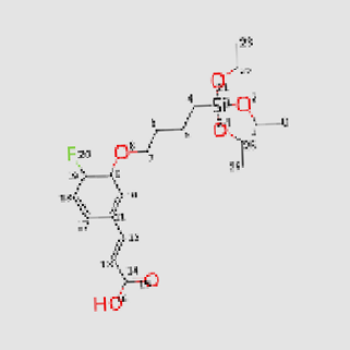 CCO[Si](CCCCOc1cc(/C=C/C(=O)O)ccc1F)(OCC)OCC